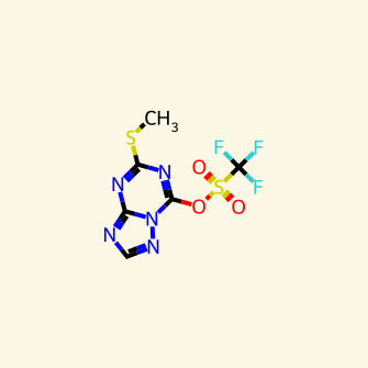 CSc1nc(OS(=O)(=O)C(F)(F)F)n2ncnc2n1